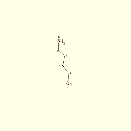 NCCSCO